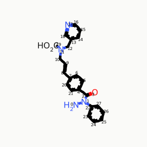 NN(C(=O)c1ccc(C=CCN(Cc2cccnc2)C(=O)O)cc1)c1ccccc1